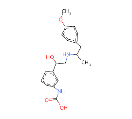 COc1ccc(CC(C)NCC(O)c2cccc(NC(=O)O)c2)cc1